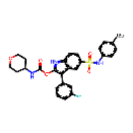 CC(C)(C)c1ccc(NS(=O)(=O)c2ccc3[nH]c(OC(=O)NC4CCOCC4)c(-c4cccc(F)c4)c3c2)cc1